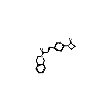 O=C(/C=C/c1ccc(N2CCC2=O)nc1)N1CCc2ccccc2C1